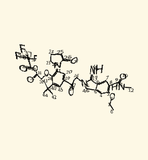 CCOc1cc2c(cc1C(=O)NC)C(=N)N(CC(=O)c1cc(N3CCCC3=O)c(OCC(=O)OC(=O)C(F)(F)F)c(C(C)(C)C)c1)C2